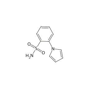 NS(=O)(=O)c1ccccc1-n1cccc1